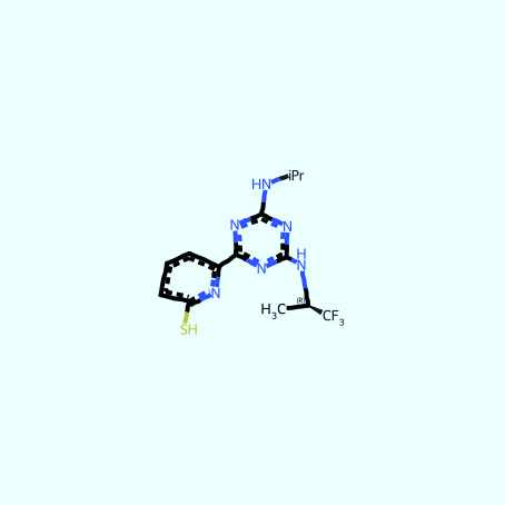 CC(C)Nc1nc(N[C@H](C)C(F)(F)F)nc(-c2cccc(S)n2)n1